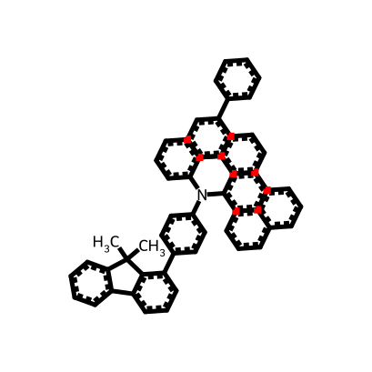 CC1(C)c2ccccc2-c2cccc(-c3ccc(N(c4ccccc4-c4cccc(-c5ccccc5)c4)c4ccccc4-c4cccc(-c5cccc6ccccc56)c4)cc3)c21